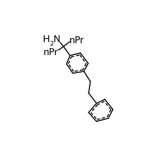 CCCC(N)(CCC)c1ccc(CCc2ccccc2)cc1